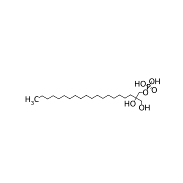 CCCCCCCCCCCCCCCCCCC(O)(CO)COP(=O)(O)O